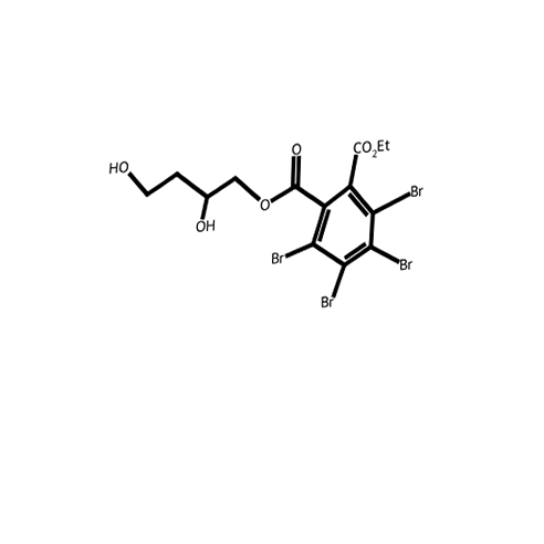 CCOC(=O)c1c(Br)c(Br)c(Br)c(Br)c1C(=O)OCC(O)CCO